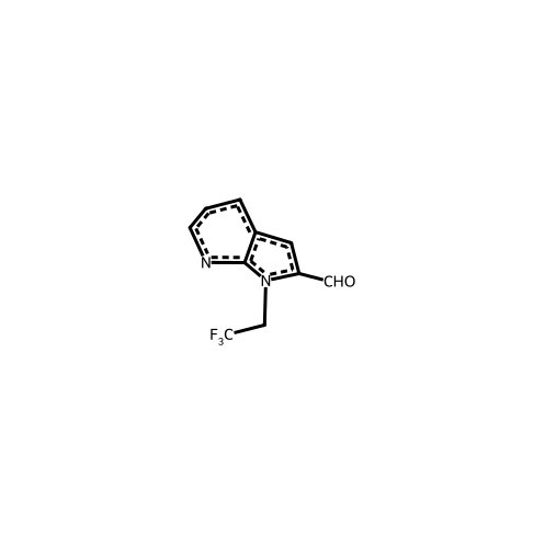 O=Cc1cc2cccnc2n1CC(F)(F)F